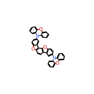 c1ccc2c(c1)Oc1ccccc1N2c1ccc2oc3c(ccc4oc5ccc(N6c7ccccc7Oc7ccccc76)cc5c43)c2c1